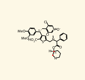 COc1ccc([C@H](Cc2c(Cl)c[n+]([O-])cc2Cl)c2cc(CN(C)C(C(=O)O[C@H]3CN4CCC3CC4)c3ccccc3)sc2C(=O)O)cc1OC